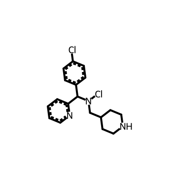 Clc1ccc(C(c2ccccn2)N(Cl)CC2CCNCC2)cc1